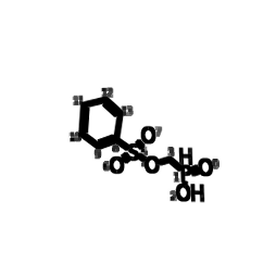 O=[PH](O)COS(=O)(=O)c1ccccc1